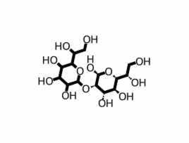 OCC(O)C1OC(O[C@H]2[C@@H](O)[C@H](O)[C@@H]([C@@H](O)CO)O[C@@H]2O)C(O)C(O)C1O